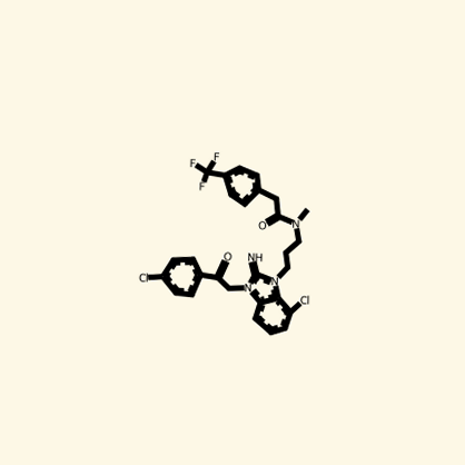 CN(CCCn1c(=N)n(CC(=O)c2ccc(Cl)cc2)c2cccc(Cl)c21)C(=O)Cc1ccc(C(F)(F)F)cc1